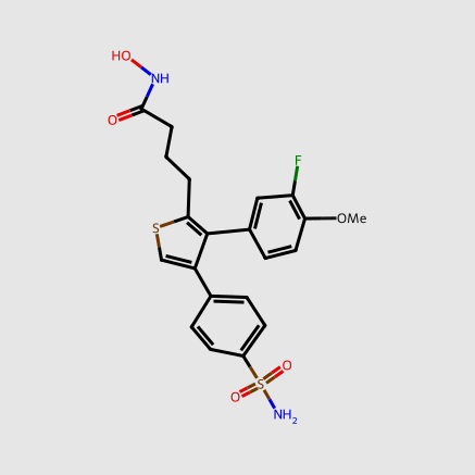 COc1ccc(-c2c(-c3ccc(S(N)(=O)=O)cc3)csc2CCCC(=O)NO)cc1F